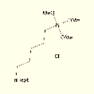 CCCCCCCCCCCC[N+](OC)(OC)OC.[Cl-]